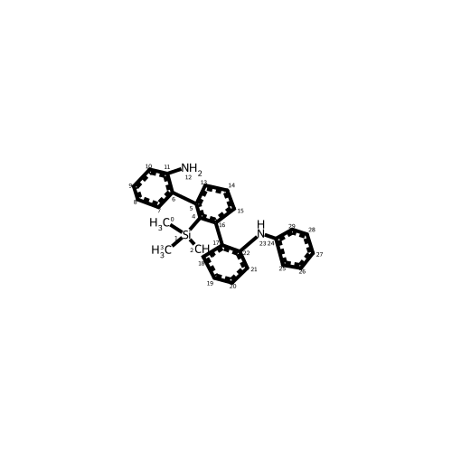 C[Si](C)(C)c1c(-c2ccccc2N)cccc1-c1ccccc1Nc1ccccc1